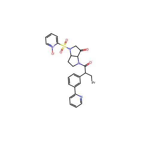 CC(C)CC(C(=O)N1CCC2C1C(=O)CN2S(=O)(=O)c1cccc[n+]1[O-])c1cccc(-c2ccccn2)c1